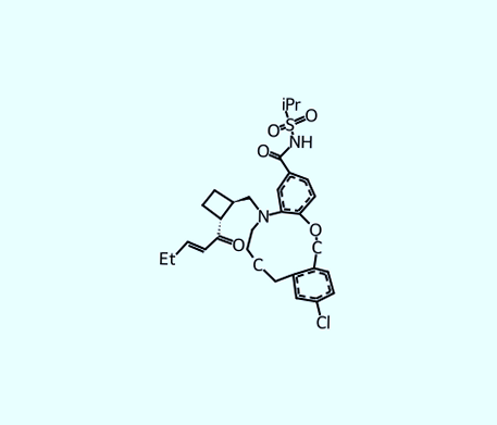 CC/C=C/C(=O)[C@@H]1CC[C@H]1CN1CCCCc2cc(Cl)ccc2COc2ccc(C(=O)NS(=O)(=O)C(C)C)cc21